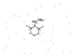 CN1CCCN(C)P1NC(C)(C)C